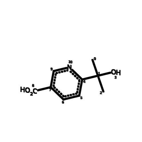 CC(C)(O)c1ccc(C(=O)O)cn1